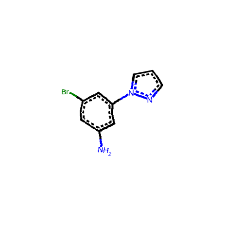 Nc1cc(Br)cc(-n2cccn2)c1